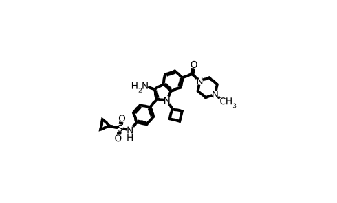 CN1CCN(C(=O)c2ccc3c(N)c(-c4ccc(NS(=O)(=O)C5CC5)cc4)n(C4CCC4)c3c2)CC1